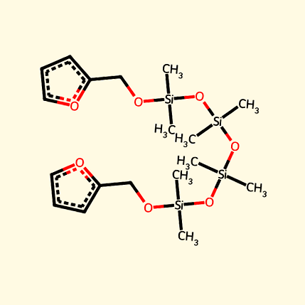 C[Si](C)(OCc1ccco1)O[Si](C)(C)O[Si](C)(C)O[Si](C)(C)OCc1ccco1